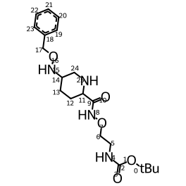 CC(C)(C)OC(=O)NCCONC(=O)C1CCC(NOCc2ccccc2)CN1